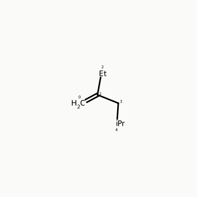 C=C(CC)CC(C)C